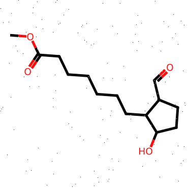 COC(=O)CCCCCCC1C(O)CCC1C=O